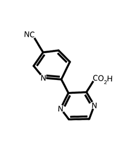 N#Cc1ccc(-c2nccnc2C(=O)O)nc1